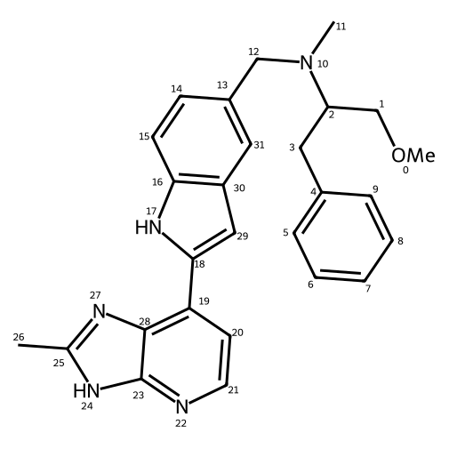 COCC(Cc1ccccc1)N(C)Cc1ccc2[nH]c(-c3ccnc4[nH]c(C)nc34)cc2c1